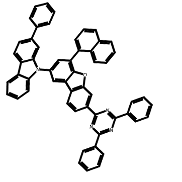 c1ccc(-c2ccc3c4ccccc4n(-c4cc(-c5cccc6ccccc56)c5oc6cc(-c7nc(-c8ccccc8)nc(-c8ccccc8)n7)ccc6c5c4)c3c2)cc1